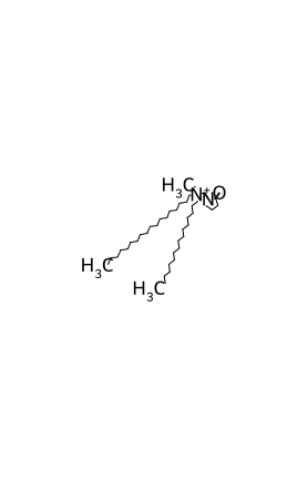 CCCCCCCCCCCCCCCCCC[N+](CC)(CCCCCCCCCCCCCCCC)CN1CCCC1=O